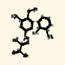 CCOc1ccc(C(C)(C)C)cc1N.CCc1ccccc1N.O=C(O)C(=O)O